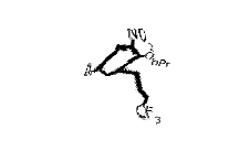 CCCOc1c(C/C=C/C(F)(F)F)cc(Br)cc1[N+](=O)[O-]